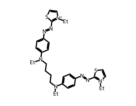 CCN(CCCCN(CC)c1ccc(N=Nc2scc[n+]2CC)cc1)c1ccc(N=Nc2scc[n+]2CC)cc1